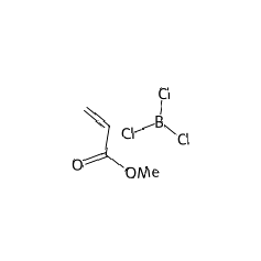 C=CC(=O)OC.ClB(Cl)Cl